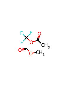 CC(=O)OC(F)(F)F.COC=O